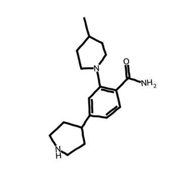 CC1CCN(c2cc(C3CCNCC3)ccc2C(N)=O)CC1